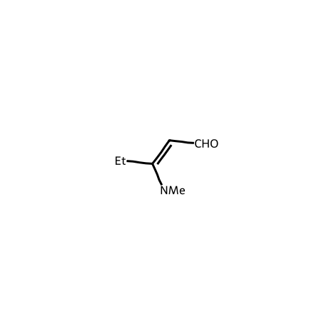 CCC(=CC=O)NC